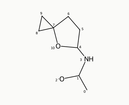 CC([O])NC1CCC2(CC2)O1